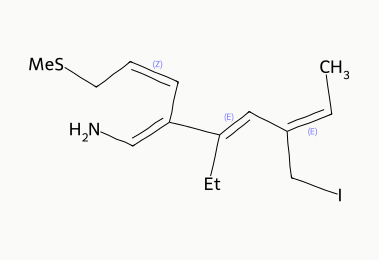 C/C=C(\C=C(/CC)C(=CN)/C=C\CSC)CI